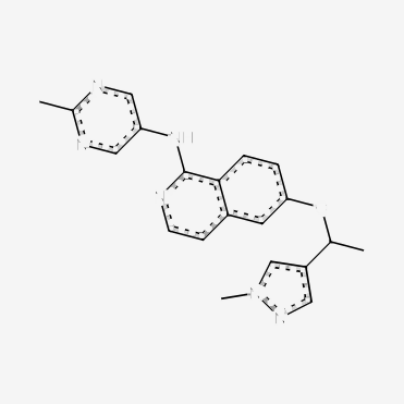 Cc1ncc(Nc2nccc3cc(OC(C)c4cnn(C)c4)ccc23)cn1